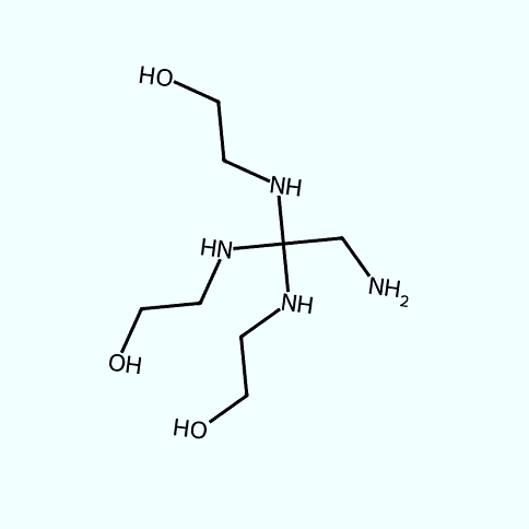 NCC(NCCO)(NCCO)NCCO